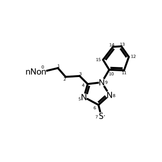 CCCCCCCCCCCCc1nc([S])nn1-c1ccccc1